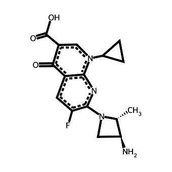 C[C@@H]1[C@@H](N)CN1c1nc2c(cc1F)c(=O)c(C(=O)O)cn2C1CC1